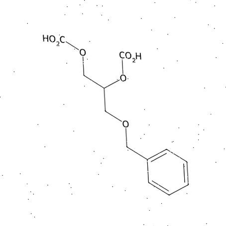 O=C(O)OCC(COCc1ccccc1)OC(=O)O